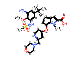 COc1c(N)cc(C(C)(C)C)cc1NS(C)(=O)=O.Cn1c(C(=O)O)cc2cccc(Oc3ccnc(CN4CCOCC4)c3)c21